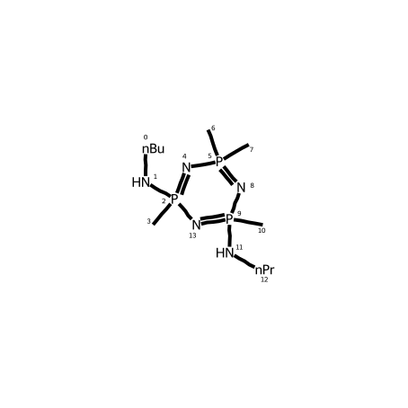 CCCCNP1(C)=NP(C)(C)=NP(C)(NCCC)=N1